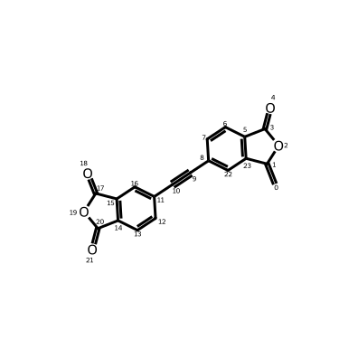 C=C1OC(=O)c2ccc(C#Cc3ccc4c(c3)C(=O)OC4=O)cc21